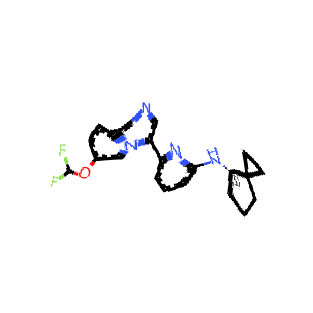 FC(F)Oc1ccc2ncc(-c3cccc(N[C@H]4CCCC45CC5)n3)n2c1